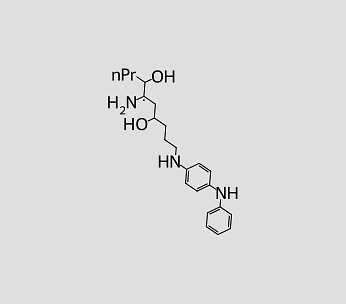 CCCC(O)[C](N)CC(O)CCCNc1ccc(Nc2ccccc2)cc1